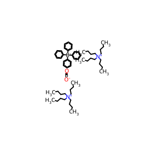 CCCC[N+](CCCC)(CCCC)CCCC.CCCC[N+](CCCC)(CCCC)CCCC.O=B[O-].c1ccc([B-](c2ccccc2)(c2ccccc2)c2ccccc2)cc1